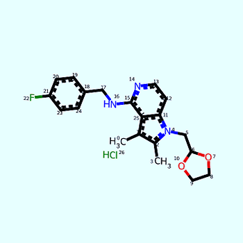 Cc1c(C)n(CC2OCCO2)c2ccnc(NCc3ccc(F)cc3)c12.Cl